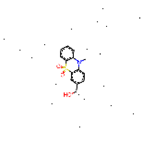 CN1c2ccccc2S(=O)(=O)c2cc(CO)ccc21